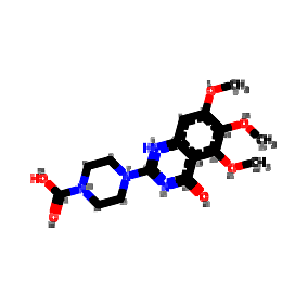 COc1cc2[nH]c(N3CCN(C(=O)O)CC3)nc(=O)c2c(OC)c1OC